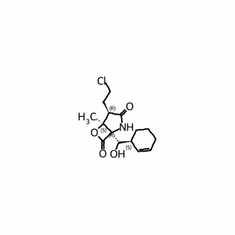 C[C@@]12OC(=O)[C@]1(C(O)[C@@H]1C=CCCC1)NC(=O)[C@@H]2CCCl